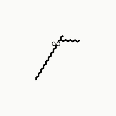 CCCCCCCCC=CCCCCCCCC(=O)OCC(CC)CCCCCCCC